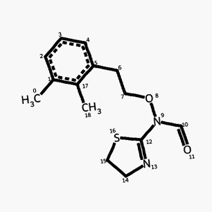 Cc1cccc(CCON(C=O)C2=NCCS2)c1C